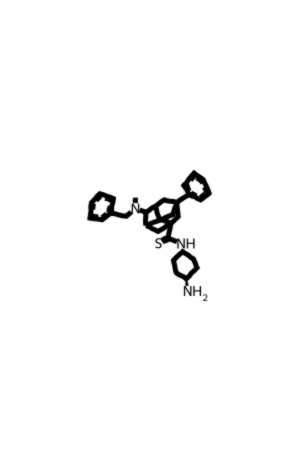 CN(Cc1ccccc1)C1C2CC3(C(=S)N[C@H]4CC[C@H](N)CC4)CC1CC(c1ccccc1)(C2)C3